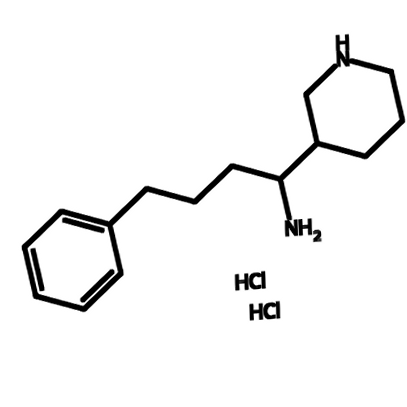 Cl.Cl.NC(CCCc1ccccc1)C1CCCNC1